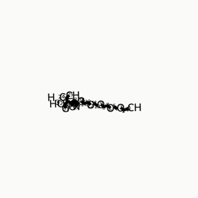 C#CCOCCOCCOCCOCCOc1cc(C(C(=O)O)C(C)C)on1